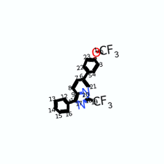 FC(F)(F)Oc1ccc(-c2ccc3c(-c4ccccc4)nc(C(F)(F)F)n3c2)cc1